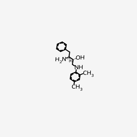 Cc1ccc(NC[C@@H](O)[C@@H](N)Cc2ccccc2)c(C)c1